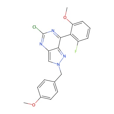 COc1ccc(Cn2cc3nc(Cl)nc(-c4c(F)cccc4OC)c3n2)cc1